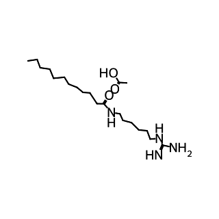 CC(=O)O.CCCCCCCCCCCC(=O)NCCCCCCNC(=N)N